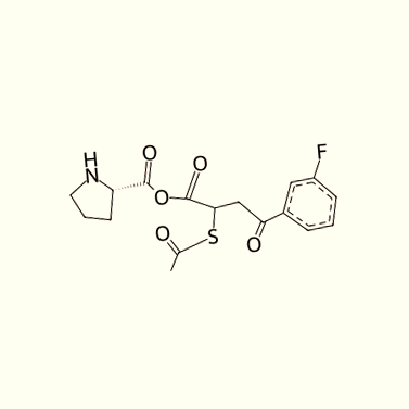 CC(=O)SC(CC(=O)c1cccc(F)c1)C(=O)OC(=O)[C@@H]1CCCN1